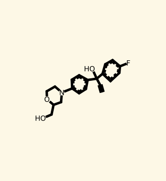 C#CC(O)(c1ccc(F)cc1)c1ccc(N2CCOC(CO)C2)cc1